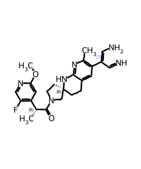 COc1cc([C@@H](C)C(=O)N2CC[C@]3(CCc4cc(/C(C=N)=C/N)c(C)nc4N3)C2)c(F)cn1